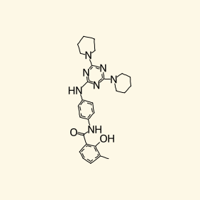 Cc1cccc(C(=O)Nc2ccc(Nc3nc(N4CCCCC4)nc(N4CCCCC4)n3)cc2)c1O